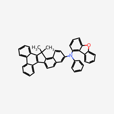 CC1(C)c2c(ccc3cc(N(c4ccccc4)c4cccc5oc6ccccc6c45)ccc23)-c2c1c1ccccc1c1ccccc21